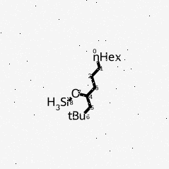 CCCCCCCCCC(CC(C)(C)C)O[SiH3]